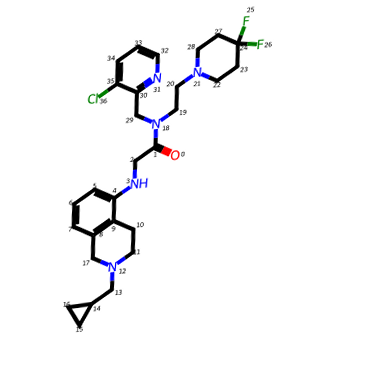 O=C(CNc1cccc2c1CCN(CC1CC1)C2)N(CCN1CCC(F)(F)CC1)Cc1ncccc1Cl